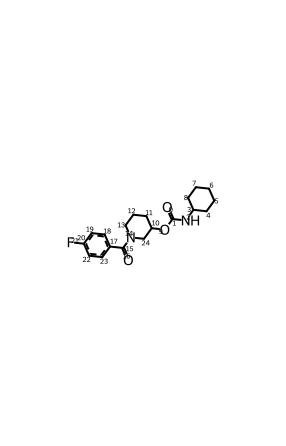 O=C(NC1CCCCC1)OC1CCCN(C(=O)c2ccc(F)cc2)C1